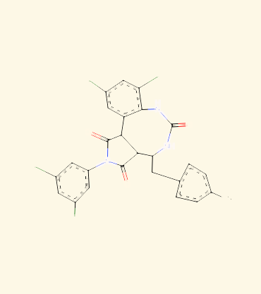 N#Cc1ccc(CC2NC(=O)Nc3c(Cl)cc(Cl)cc3C3C(=O)N(c4cc(Cl)cc(Cl)c4)C(=O)C23)cc1